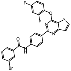 O=C(Nc1ccc(-c2nc(Oc3ccc(F)cc3F)c3sccc3n2)cc1)c1cccc(Br)c1